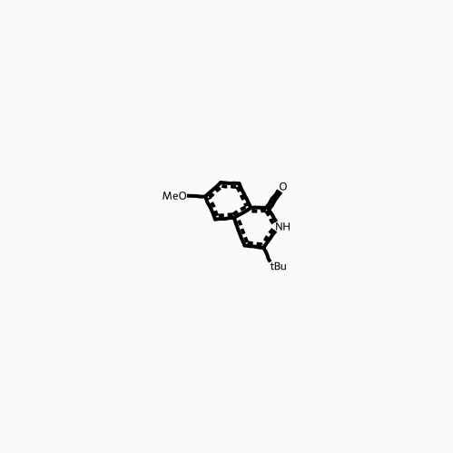 COc1ccc2c(=O)[nH]c(C(C)(C)C)cc2c1